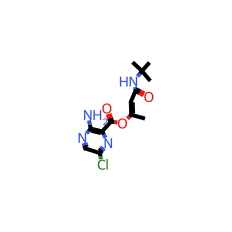 CC(=CC(=O)NC(C)(C)C)OC(=O)c1nc(Cl)cnc1N